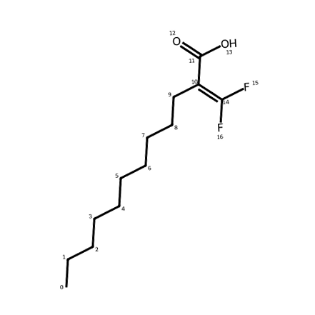 CCCCCCCCCCC(C(=O)O)=C(F)F